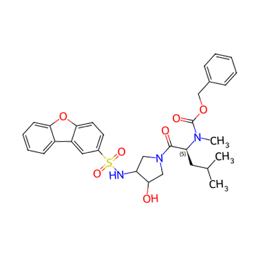 CC(C)C[C@@H](C(=O)N1CC(O)C(NS(=O)(=O)c2ccc3oc4ccccc4c3c2)C1)N(C)C(=O)OCc1ccccc1